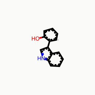 Oc1ccc[c]c1-c1c[nH]c2ccccc12